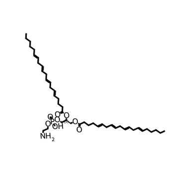 CCCCCC=CCC=CCC=CCC=CCCCC(=O)OC[C@@H](COP(=O)(O)OCCN)OC(=O)CCCC=CCC=CCC=CCC=CCCCCC